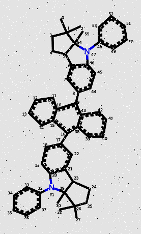 CC1(C)CCC2c3cc(-c4c5ccccc5c(-c5ccc6c(c5)C5CCC(C)(C)C5(C)N6c5ccccc5)c5ccccc45)ccc3N(c3ccccc3)C21C